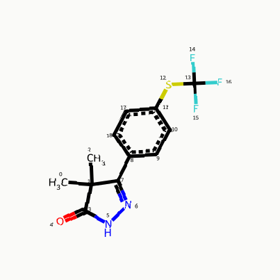 CC1(C)C(=O)NN=C1c1ccc(SC(F)(F)F)cc1